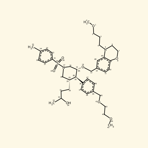 COCCCN1CCOc2ccc(CO[C@H]3CN(S(=O)(=O)c4ccc(C)cc4)C[C@@H](CCC(C)O)[C@@H]3c3ccc(COCCOC)cc3)cc21